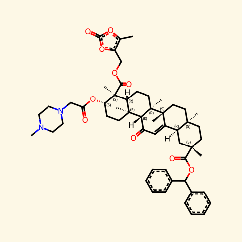 Cc1oc(=O)oc1COC(=O)[C@]1(C)[C@@H](OC(=O)CN2CCN(C)CC2)CC[C@@]2(C)[C@H]1CC[C@]1(C)[C@@H]2C(=O)C=C2[C@@H]3C[C@@](C)(C(=O)OC(c4ccccc4)c4ccccc4)CC[C@]3(C)CC[C@]21C